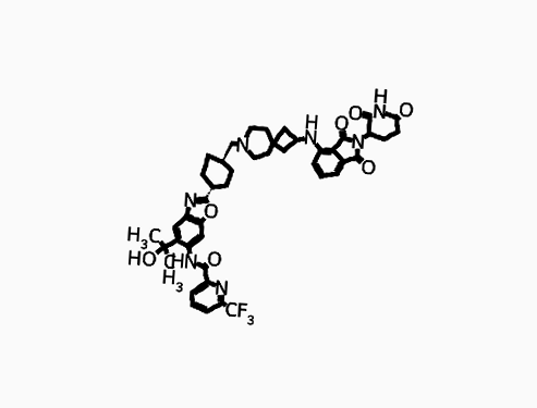 CC(C)(O)c1cc2nc([C@H]3CC[C@H](CN4CCC5(CC4)CC(Nc4cccc6c4C(=O)N(C4CCC(=O)NC4=O)C6=O)C5)CC3)oc2cc1NC(=O)c1cccc(C(F)(F)F)n1